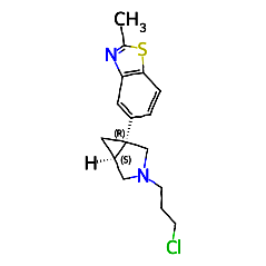 Cc1nc2cc([C@@]34C[C@@H]3CN(CCCCl)C4)ccc2s1